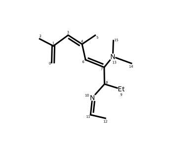 C=C(C)/C=C(C)\C=C(\C(CC)/N=C\C)N(C)C